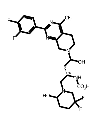 O=C(O)N[C@@H](CC(O)N1CCc2c(nc(-c3ccc(F)c(F)c3)nc2C(F)(F)F)C1)CN1CC(F)(F)CCC1O